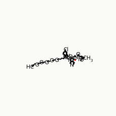 C#CCOCCOCCOCCOCCOCCCCn1c(CN2C(=O)C3(CCN(C(=O)c4cc(C)on4)CC3)c3ccncc32)nc2cc(Cl)ccc21